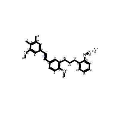 COc1ccc(/C=C/c2cc(C)c(C)c(OC)c2)cc1CCCc1ccccc1N=[N+]=[N-]